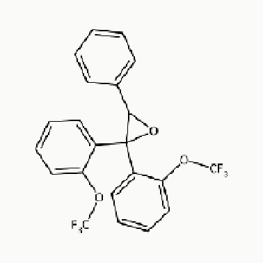 FC(F)(F)Oc1ccccc1C1(c2ccccc2OC(F)(F)F)OC1c1ccccc1